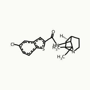 CC1(C)[C@@H](NC(=O)c2cc3cc(Cl)ccc3s2)C2CCN1CC2